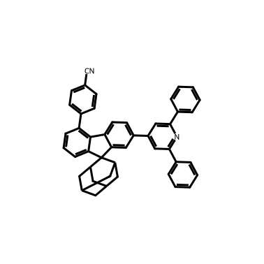 N#Cc1ccc(-c2cccc3c2-c2ccc(-c4cc(-c5ccccc5)nc(-c5ccccc5)c4)cc2C32C3CC4CC(C3)CC2C4)cc1